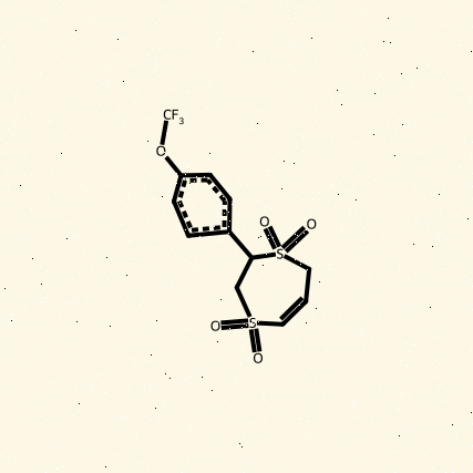 O=S1(=O)C=CCS(=O)(=O)C(c2ccc(OC(F)(F)F)cc2)C1